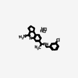 CC(NCc1cccc(Cl)c1)c1ccc2c(c1)N=C(N)C1CCCC21.Cl.Cl